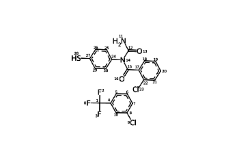 FC(F)(F)c1cccc(Cl)c1.NC(=O)N(C(=O)c1ccccc1Cl)c1ccc(S)cc1